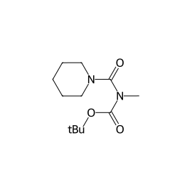 CN(C(=O)OC(C)(C)C)C(=O)N1CCCCC1